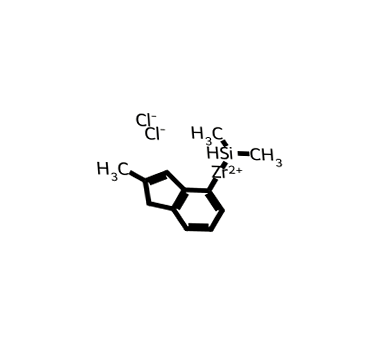 CC1=Cc2c(ccc[c]2[Zr+2][SiH](C)C)C1.[Cl-].[Cl-]